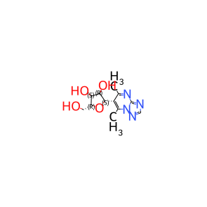 Cc1nc2ncnn2c(C)c1[C@@H]1O[C@H](CO)[C@@H](O)[C@H]1O